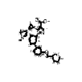 Cn1cc([C@@H]2C[C@H]2c2c(C(=O)O)cnn2-c2cccc(-c3cccc(OCC4CCCSC4)c3)c2)nn1